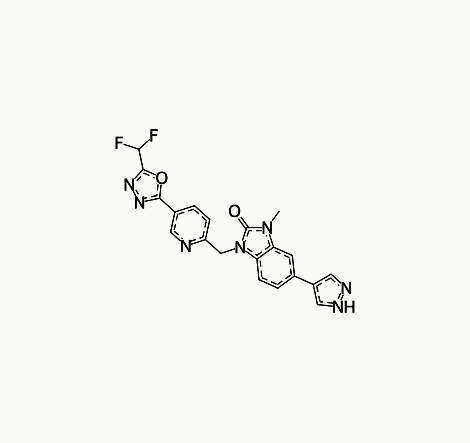 Cn1c(=O)n(Cc2ccc(-c3nnc(C(F)F)o3)cn2)c2ccc(-c3cn[nH]c3)cc21